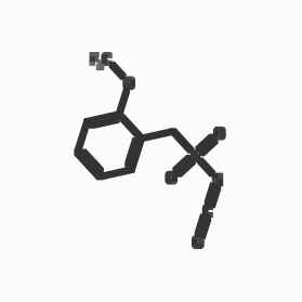 O=C=NS(=O)(=O)Cc1ccccc1OC(F)(F)F